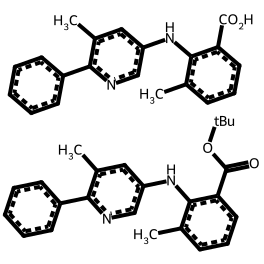 Cc1cc(Nc2c(C)cccc2C(=O)O)cnc1-c1ccccc1.Cc1cc(Nc2c(C)cccc2C(=O)OC(C)(C)C)cnc1-c1ccccc1